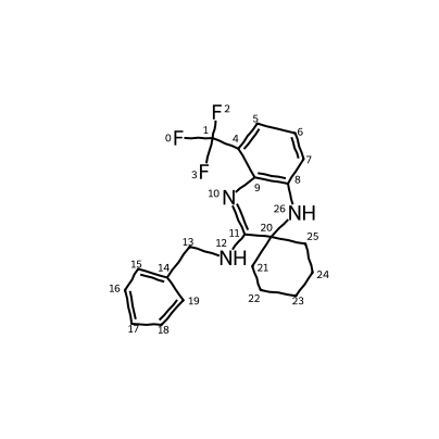 FC(F)(F)c1cccc2c1N=C(NCc1ccccc1)C1(CCCCC1)N2